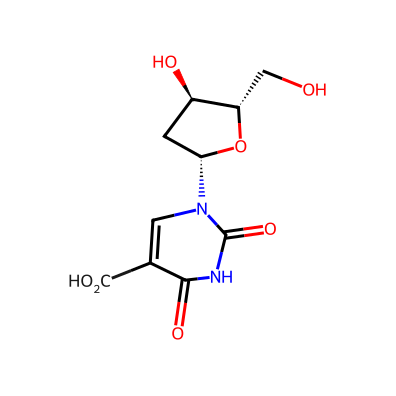 O=C(O)c1cn([C@@H]2C[C@@H](O)[C@H](CO)O2)c(=O)[nH]c1=O